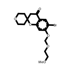 COCCOCOc1cc2c(cc1Br)C(=O)CC1(CCOCC1)O2